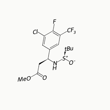 COC(=O)C[C@H](N[S@+]([O-])C(C)(C)C)c1cc(Cl)c(F)c(C(F)(F)F)c1